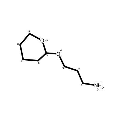 NCCCOC1CCCCO1